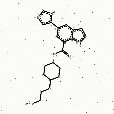 COCCO[C@H]1CC[C@H](NC(=O)c2cc(-c3cscn3)cc3cc[nH]c23)CC1